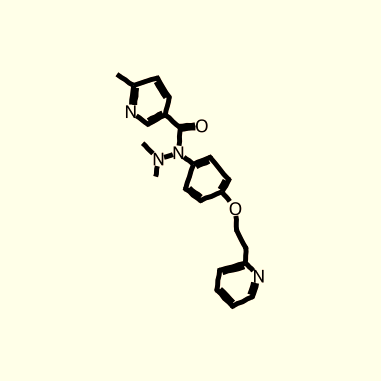 Cc1ccc(C(=O)N(c2ccc(OCCc3ccccn3)cc2)N(C)C)cn1